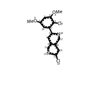 COc1cc(OC)c(Cl)c(-c2cc3cnc(Cl)cc3cn2)c1